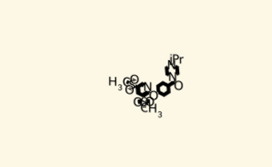 CC(C)N1CCN(C(=O)C2CCC(Oc3ncc(S(C)(=O)=O)cc3S(C)(=O)=O)CC2)CC1